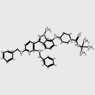 Cn1nc(-c2ccc(OCc3ccccc3)nc2OCc2ccccc2)c2cccc(OC3CCN(C(=O)OC(C)(C)C)CC3)c21